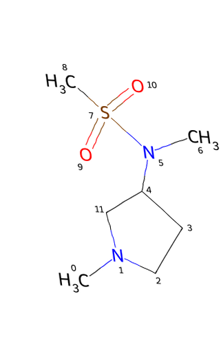 CN1CCC(N(C)S(C)(=O)=O)C1